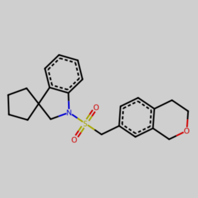 O=S(=O)(Cc1ccc2c(c1)COCC2)N1CC2(CCCC2)c2ccccc21